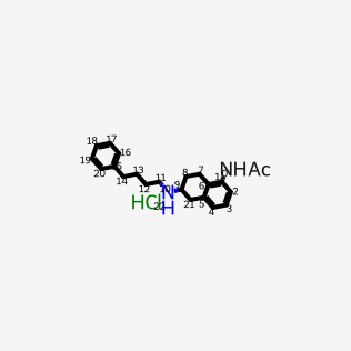 CC(=O)Nc1cccc2c1CCC(NCCCCc1ccccc1)C2.Cl